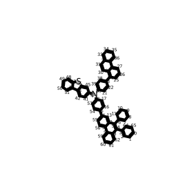 c1ccc(-c2c(-c3ccccc3)c3cc(-c4ccc(N(c5ccc(-c6cccc7c6ccc6ccccc67)cc5)c5ccc6c(c5)sc5ccccc56)cc4)ccc3c3ccccc23)cc1